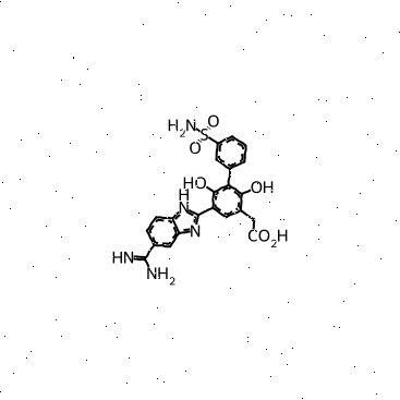 N=C(N)c1ccc2[nH]c(-c3cc(CC(=O)O)c(O)c(-c4cccc(S(N)(=O)=O)c4)c3O)nc2c1